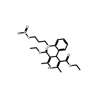 CCOC(=O)C1=C(C)NC(C)=C(C(=O)OCC)C1c1ccccc1OCCCO[N+](=O)[O-]